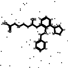 O=C(O)CSCCC(O)Cc1cccc(C2CCCC2)c1OCc1ccccc1